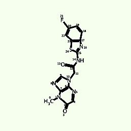 Cn1c(=O)cnc2c1ncn2CC(=O)Nc1nc2ccc(F)cc2s1